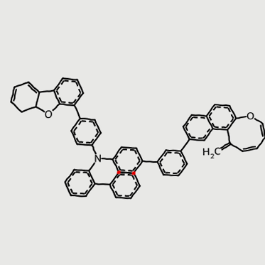 C=C1/C=C\C=C/Oc2ccc3ccc(-c4cccc(-c5ccc(N(c6ccc(-c7cccc8c7OC7CC=CC=C87)cc6)c6ccccc6-c6ccccc6)cc5)c4)cc3c21